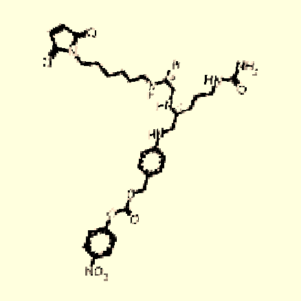 CC(C)[C@@H](CN[C@@H](CCCNC(N)=O)CNc1ccc(COC(=O)Oc2ccc([N+](=O)[O-])cc2)cc1)NCCCCCCN1C(=O)C=CC1=O